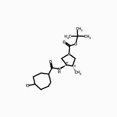 C[C@H]1CN(C(=O)OC(C)(C)C)C[C@@H]1NC(=O)C1CCCC(Cl)CC1